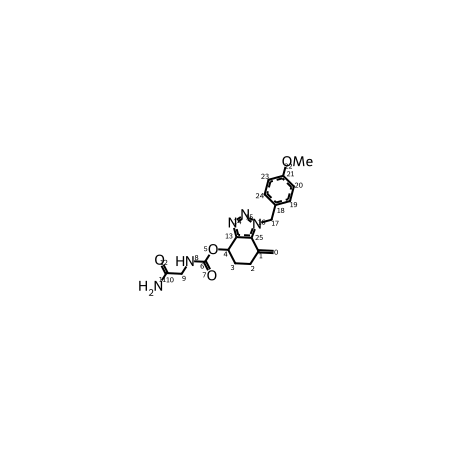 C=C1CCC(OC(=O)NCC(N)=O)c2nnn(Cc3ccc(OC)cc3)c21